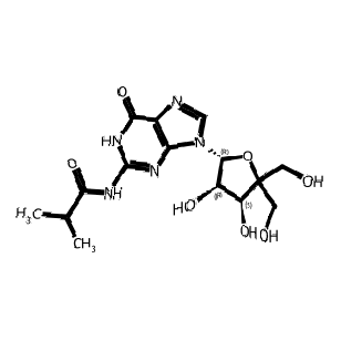 CC(C)C(=O)Nc1nc2c(ncn2[C@@H]2OC(CO)(CO)[C@@H](O)[C@H]2O)c(=O)[nH]1